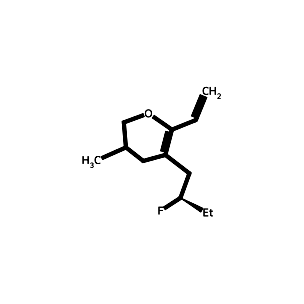 C=CC1=C(C[C@H](F)CC)CC(C)CO1